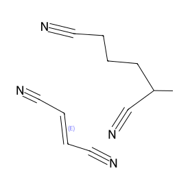 CC(C#N)CCCC#N.N#C/C=C/C#N